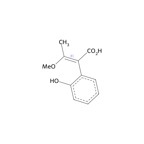 CO/C(C)=C(/C(=O)O)c1ccccc1O